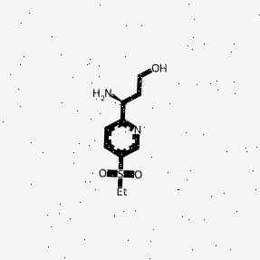 CCS(=O)(=O)c1ccc([C@@H](N)CCO)nc1